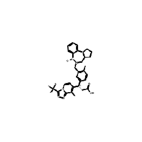 Cc1ccc([C@H](CC(=O)O)c2ccn3c(C(F)(F)F)nnc3c2C)cc1CN1CC2CCCN2c2ccccc2[S+]1[O-]